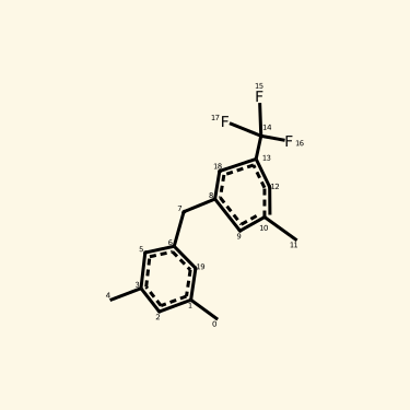 Cc1cc(C)cc(Cc2cc(C)cc(C(F)(F)F)c2)c1